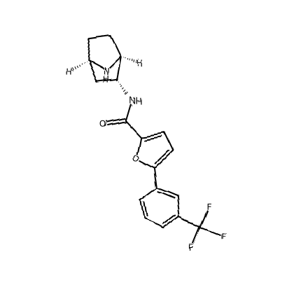 O=C(N[C@@H]1C[C@H]2CC[C@@H]1N2)c1ccc(-c2cccc(C(F)(F)F)c2)o1